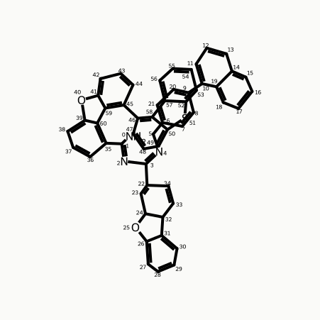 N/C(=N\C(=N/Cc1ccc(-c2cccc3ccccc23)cc1)C1=CC2Oc3ccccc3C2C=C1)c1cccc2oc3cccc(-c4cccc5sc6ccccc6c45)c3c12